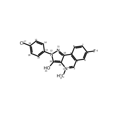 C[n+]1cc2cc(F)ccc2c2nn(-c3ccc(Cl)cc3)c(O)c21